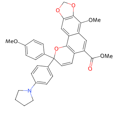 COC(=O)c1cc2c(OC)c3c(cc2c2c1C=CC(c1ccc(OC)cc1)(c1ccc(N4CCCC4)cc1)O2)OCO3